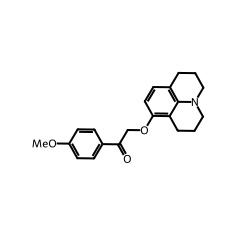 COc1ccc(C(=O)COc2ccc3c4c2CCCN4CCC3)cc1